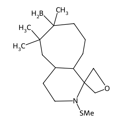 BC1(C)CCCC2C(CCN(SC)C23COC3)CC1(C)C